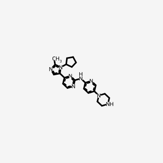 Cc1ncc(-c2ccnc(Nc3ccc(N4CCNCC4)cn3)n2)n1C1CCCC1